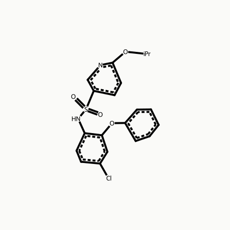 CC(C)Oc1ccc(S(=O)(=O)Nc2ccc(Cl)cc2Oc2ccccc2)cn1